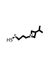 CC(C)C1CN(CCCSS)C1